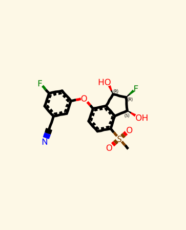 CS(=O)(=O)c1ccc(Oc2cc(F)cc(C#N)c2)c2c1[C@H](O)[C@H](F)[C@@H]2O